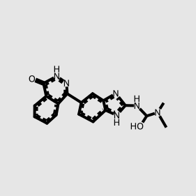 CN(C)C(O)Nc1nc2cc(-c3n[nH]c(=O)c4ccccc34)ccc2[nH]1